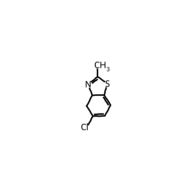 CC1=NC2CC(Cl)=CC=C2S1